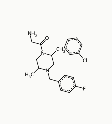 CC1CN(C(=O)CN)C(C)CN1Cc1ccc(F)cc1.Clc1ccccc1